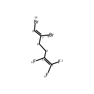 FC(F)=C(F)[CH]CC(Br)=CBr